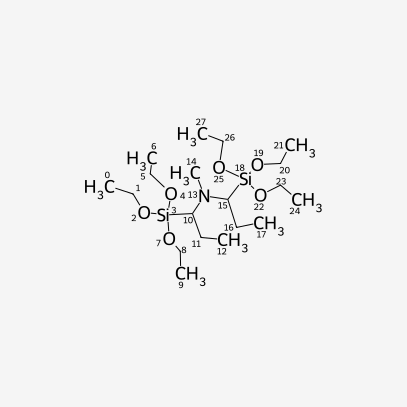 CCO[Si](OCC)(OCC)C(CC)N(C)C(CC)[Si](OCC)(OCC)OCC